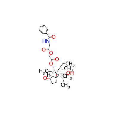 C=C[C@]1(C)C[C@@H](OC(=O)COC(=O)CNC(=O)c2ccccc2)[C@]2(C)CC[C@@H](C)[C@@]3(CCC(=O)[C@@H]23)[C@@H](CC)[C@@H]1O